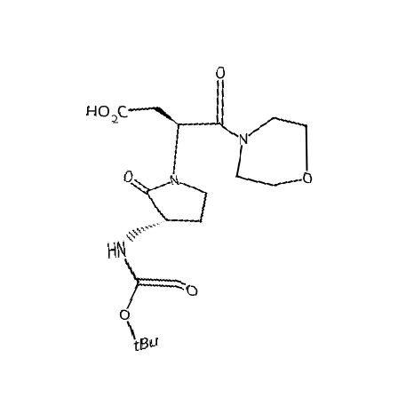 CC(C)(C)OC(=O)N[C@H]1CCN([C@@H](CC(=O)O)C(=O)N2CCOCC2)C1=O